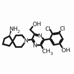 Cc1nc(N2CCC3(CCC[C@H]3N)CC2)c(CO)nc1-c1cc(O)cc(Cl)c1Cl